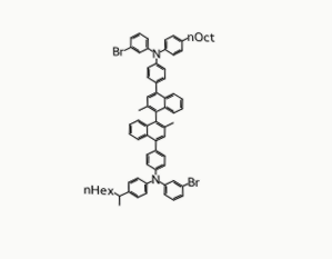 CCCCCCCCc1ccc(N(c2ccc(-c3cc(C)c(-c4c(C)cc(-c5ccc(N(c6ccc(C(C)CCCCCC)cc6)c6cccc(Br)c6)cc5)c5ccccc45)c4ccccc34)cc2)c2cccc(Br)c2)cc1